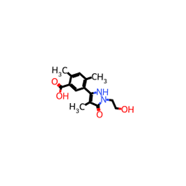 Cc1cc(C)c(-c2[nH]n(CCO)c(=O)c2C)cc1C(=O)O